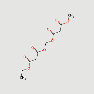 CCOC(=O)CC(=O)OCOC(=O)CC(=O)OC